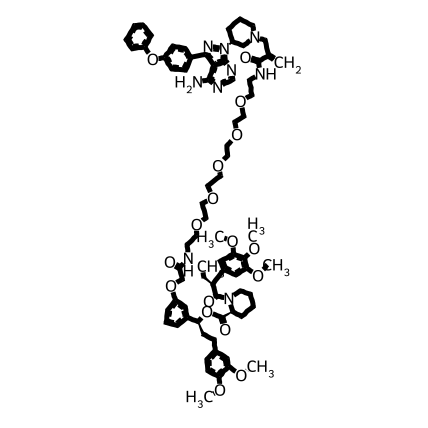 C=C(CN1CCC[C@@H](n2nc(-c3ccc(Oc4ccccc4)cc3)c3c(N)ncnc32)C1)C(=O)NCCOCCOCCOCCOCCOCCNC(=O)COc1cccc([C@H](CCc2ccc(OC)c(OC)c2)OC(=O)[C@@H]2CCCCN2C(=O)[C@@H](CC)c2cc(OC)c(OC)c(OC)c2)c1